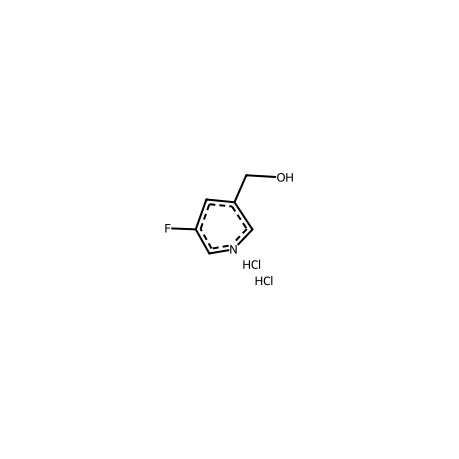 Cl.Cl.OCc1cncc(F)c1